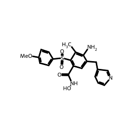 COc1ccc(S(=O)(=O)c2c(C(=O)NO)cc(Cc3cccnc3)c(N)c2C)cc1